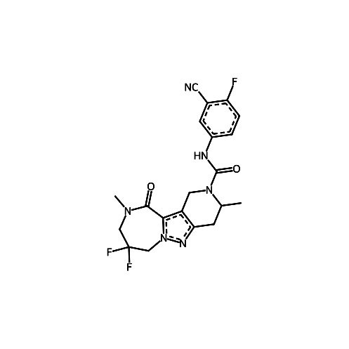 CC1Cc2nn3c(c2CN1C(=O)Nc1ccc(F)c(C#N)c1)C(=O)N(C)CC(F)(F)C3